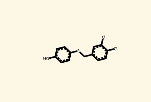 Oc1ccc(SCc2ccc(Cl)c(Cl)c2)cc1